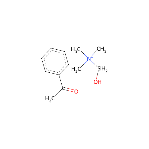 CC(=O)c1ccccc1.C[N+](C)(C)[SiH2]O